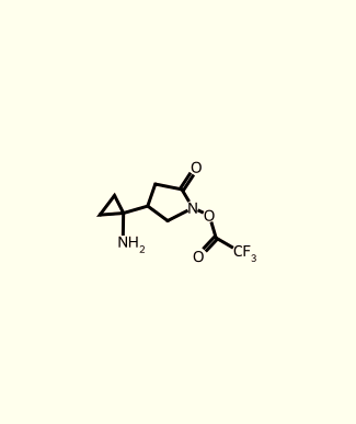 NC1(C2CC(=O)N(OC(=O)C(F)(F)F)C2)CC1